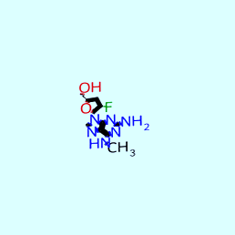 CNc1nc(N)nc2c1ncn2[C@@H]1O[C@H](CO)C[C@@H]1F